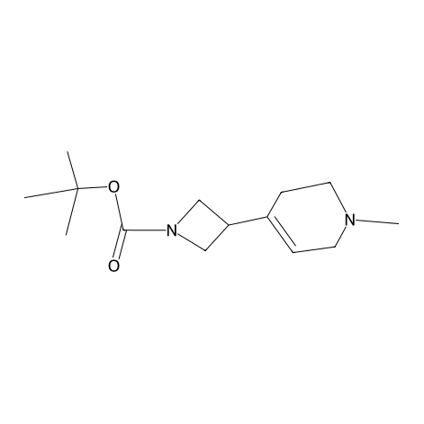 CN1CC=C(C2CN(C(=O)OC(C)(C)C)C2)CC1